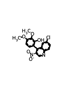 COc1ccc(-c2c([N+](=O)[O-])cnc3ccc(Cl)cc23)c(O)c1OC